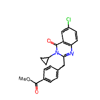 COC(=O)c1ccc(Cc2nc3ccc(Cl)cc3c(=O)n2C2CC2)cc1